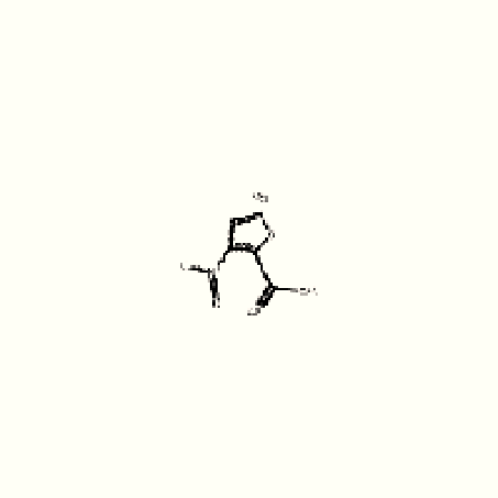 Cl.O=C(O)c1occc1[N+](=O)[O-]